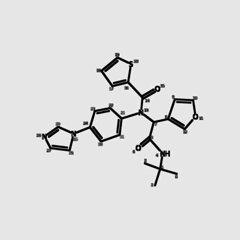 CC(C)(C)NC(=O)C(c1ccoc1)N(C(=O)c1cccs1)c1ccc(-n2ccnc2)cc1